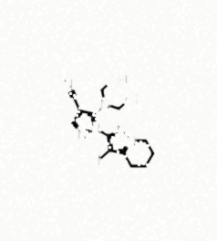 CCN(CC)c1c(C#N)cnn1-c1nn2c(c1Cl)CCCC2